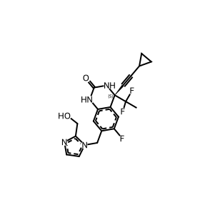 CC(F)(F)[C@@]1(C#CC2CC2)NC(=O)Nc2cc(Cn3ccnc3CO)c(F)cc21